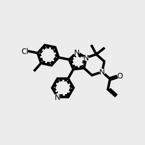 C=CC(=O)N1Cc2c(-c3ccncc3)c(-c3ccc(Cl)c(C)c3)nn2C(C)(C)C1